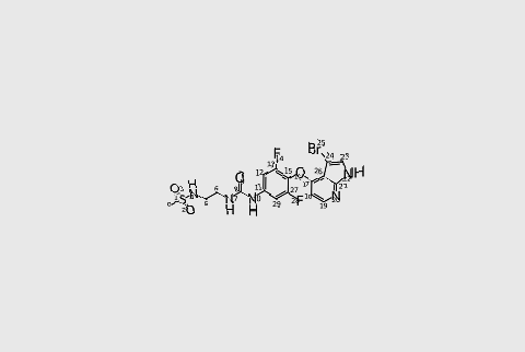 CS(=O)(=O)NCCNC(=O)Nc1cc(F)c(Oc2ccnc3[nH]cc(Br)c23)c(F)c1